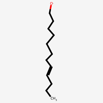 CCCC=CCCCCCCC[O]